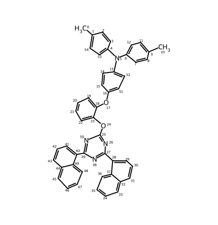 Cc1ccc(N(c2ccc(C)cc2)c2ccc(Oc3ccccc3Oc3nc(-c4cccc5ccccc45)nc(-c4cccc5ccccc45)n3)cc2)cc1